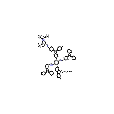 [C-]#[N+]/C(C#N)=C1C=C(/C=C/c2ccc(N(c3ccc(C)cc3)c3ccc(-c4cc(/C=C/c5cccc(N(c6ccccc6)c6ccccc6)c5)c(-c5ccc6c(c5)C(C)(CCCCCC)c5cc(C)ccc5-6)cc4/C=C/c4ccc(N(c5ccccc5)c5ccccc5)cc4)cc3)cc2)OC(C(C)(C)C)=C/1